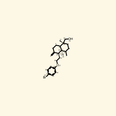 C=C1CCC2[C@@H](C(C)CC[C@@]2(C)CO)[C@H]1CCOc1ccc(Br)cc1